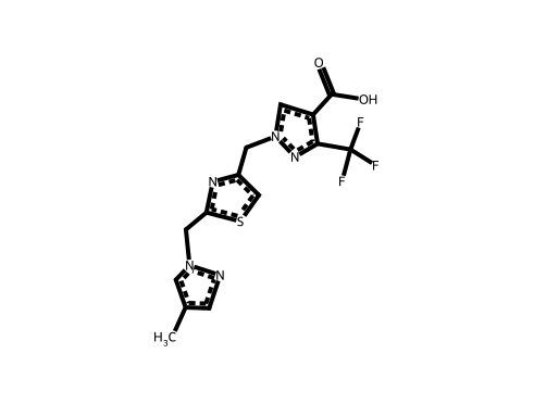 Cc1cnn(Cc2nc(Cn3cc(C(=O)O)c(C(F)(F)F)n3)cs2)c1